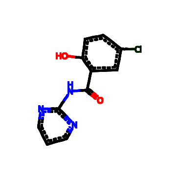 O=C(Nc1ncccn1)c1cc(Cl)ccc1O